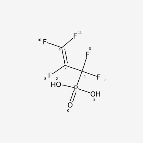 O=P(O)(O)C(F)(F)C(F)=C(F)F